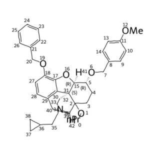 CCCOC12CC[C@@H](OCc3ccc(OC)cc3)[C@@H]3Oc4c(OCc5ccccc5)ccc5c4[C@@]31CCN(CC1CC1)[C@@H]2C5